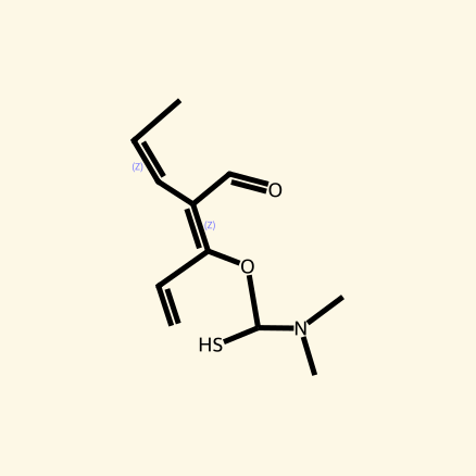 C=C/C(OC(S)N(C)C)=C(C=O)\C=C/C